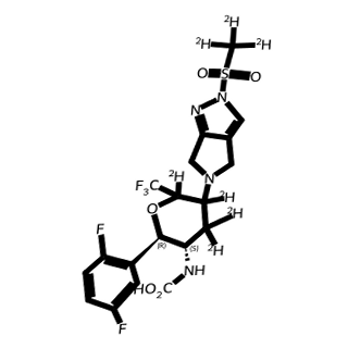 [2H]C1([2H])[C@H](NC(=O)O)[C@@H](c2cc(F)ccc2F)OC([2H])(C(F)(F)F)C1([2H])N1Cc2cn(S(=O)(=O)C([2H])([2H])[2H])nc2C1